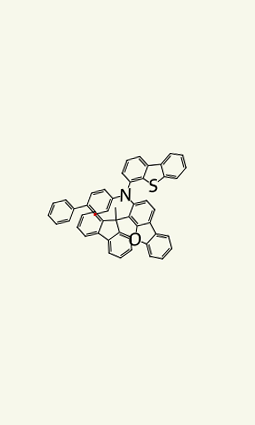 CC1(c2c(N(c3ccc(-c4ccccc4)cc3)c3cccc4c3sc3ccccc34)ccc3c2oc2ccccc23)c2ccccc2-c2ccccc21